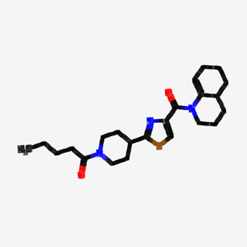 CCCCC(=O)N1CCC(c2nc(C(=O)N3CCCC4CCCC=C43)cs2)CC1